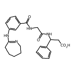 O=C(O)CC(NC(=O)CNC(=O)c1cccc(NC2=NCCCCC2)c1)c1ccccc1